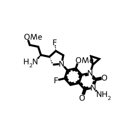 COCC[C@H](N)[C@H]1CN(c2c(F)cc3c(=O)n(N)c(=O)n(C4CC4)c3c2OC)C[C@H]1F